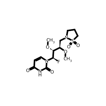 CO[C@@H]([C@@H](F)n1ccc(=O)[nH]c1=O)[C@@H](CN1CCCS1(=O)=O)OC